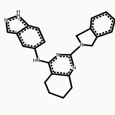 c1ccc2c(c1)CN(c1nc3c(c(Nc4ccc5[nH]ncc5c4)n1)CCCC3)C2